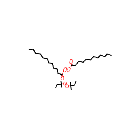 CCC(C)(C)OOC(C)(C)CC.CCCCCCCCCCCC(=O)OOC(=O)CCCCCCCCCCC